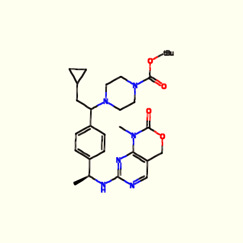 C[C@H](Nc1ncc2c(n1)N(C)C(=O)OC2)c1ccc(C(CC2CC2)N2CCN(C(=O)OC(C)(C)C)CC2)cc1